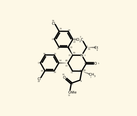 CC[C@@H](C(=O)O)N1C(=O)[C@@](C)(CC(=O)OC)C[C@H](c2cccc(Cl)c2)[C@H]1c1ccc(Cl)cc1